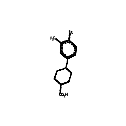 CCc1ccc(N2CCC(C(=O)O)CC2)cc1C(F)(F)F